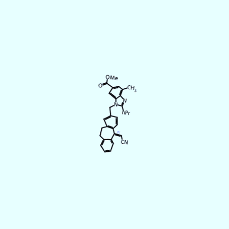 CCCc1nc2c(C)cc(C(=O)OC)cc2n1Cc1ccc2c(c1)CCc1ccccc1/C2=C\C#N